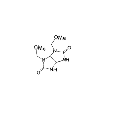 COCN1C(=O)NC2NC(=O)N(COC)C21